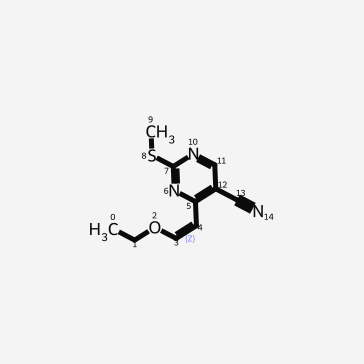 CCO/C=C\c1nc(SC)ncc1C#N